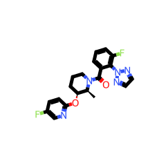 C[C@H]1[C@H](Oc2ccc(F)cn2)CCCN1C(=O)c1cccc(F)c1-n1nccn1